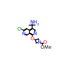 COC(=O)N1CC(Oc2ncc(C(C)(C)N)c3cc(Cl)ncc23)C1